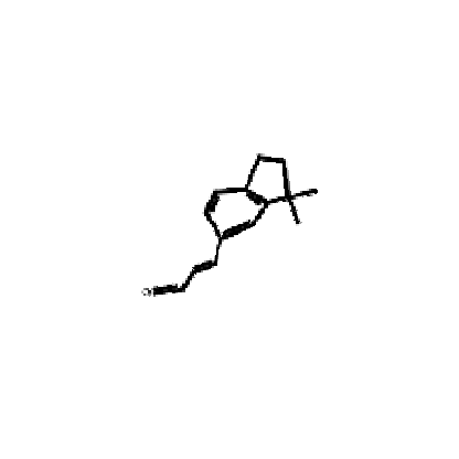 CC1(C)CCc2ccc(C=CC=O)cc21